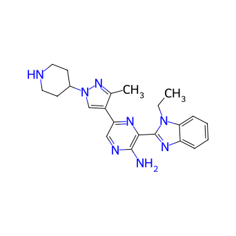 CCn1c(-c2nc(-c3cn(C4CCNCC4)nc3C)cnc2N)nc2ccccc21